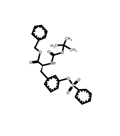 CC(C)(C)OC(=O)N[C@@H](Cc1cccc(OS(=O)(=O)c2ccccc2)c1)C(=O)OCc1ccccc1